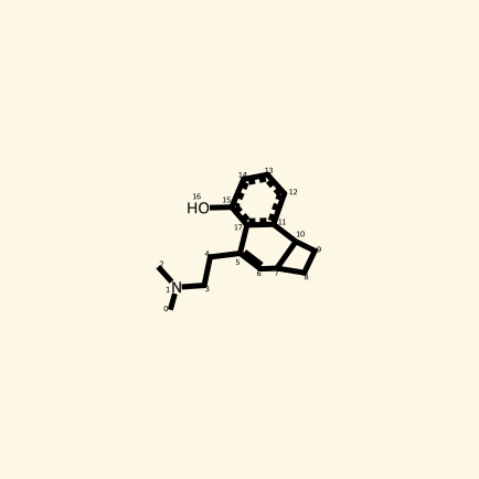 CN(C)CCC1=CC2CCC2c2cccc(O)c21